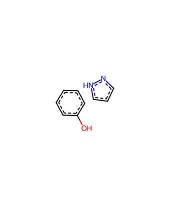 Oc1ccccc1.c1cn[nH]c1